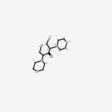 O=C(C(CCl)N1CCOCC1)C(CCl)N1CCOCC1